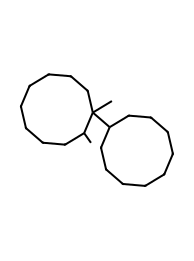 CC1CCCCCCCCC1(C)C1CCCCCCCCC1